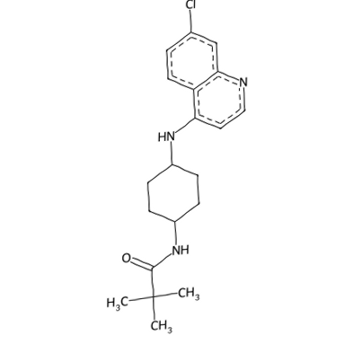 CC(C)(C)C(=O)NC1CCC(Nc2ccnc3cc(Cl)ccc23)CC1